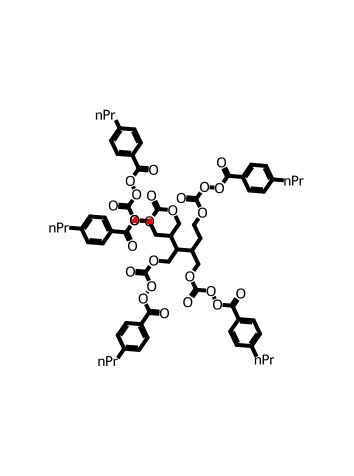 CCCc1ccc(C(=O)OOC(=O)OCCC(COC(=O)OOC(=O)c2ccc(CCC)cc2)C(COC(=O)OOC(=O)c2ccc(CCC)cc2)C(CCOC(=O)OOC(=O)c2ccc(CCC)cc2)COC(=O)OOC(=O)c2ccc(CCC)cc2)cc1